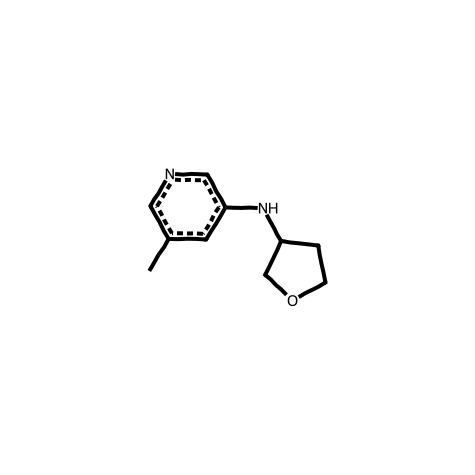 Cc1cncc(NC2CCOC2)c1